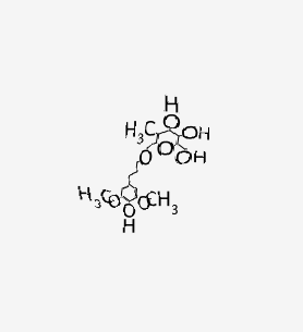 COc1cc(CCCOCC2OC(CO)C(O)C(O)C2C)cc(OC)c1O